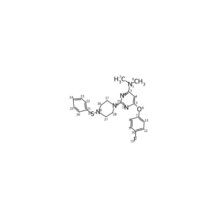 CN(C)c1cc(Oc2ccc(F)cc2)nc(N2CCN(Sc3ccccc3)CC2)n1